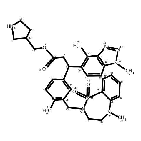 Cc1ccc(C(CC(=O)OCC2CCNC2)c2ccc3c(nnn3C)c2C)cc1CN1CCN(C)c2ccccc2S1(=O)=O